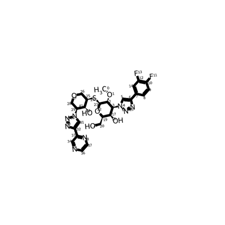 CO[C@@H]1[C@@H](n2cc(-c3ccc(F)c(F)c3)nn2)[C@@H](O)[C@@H](CO)O[C@H]1S[C@@H]1COC[C@H](n2cc(-c3cnccn3)nn2)[C@H]1O